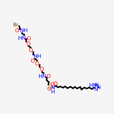 O=C(CBr)NCCNC(=O)COCCOCCNC(=O)COCCOCCNC(=O)CCCS(=O)(=O)NC(=O)CCCCCCCCCCCCCCCc1nnn[nH]1